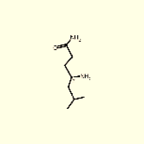 CC(C)C[C@H](N)CCC(N)=O